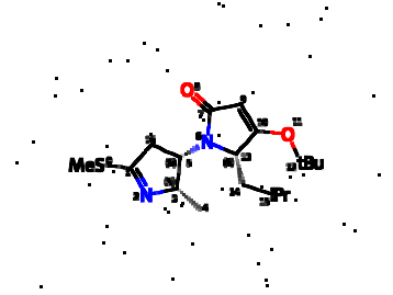 CSC1=N[C@@H](C)[C@@H](N2C(=O)C=C(OC(C)(C)C)[C@@H]2CC(C)C)C1